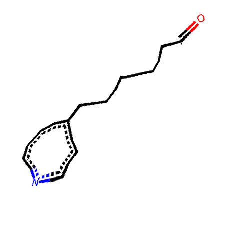 O=[C]CCCCCc1ccncc1